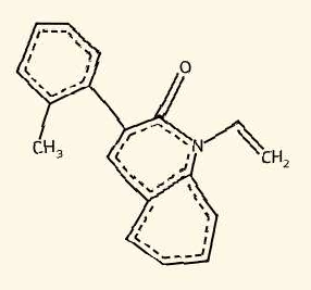 C=Cn1c(=O)c(-c2ccccc2C)cc2ccccc21